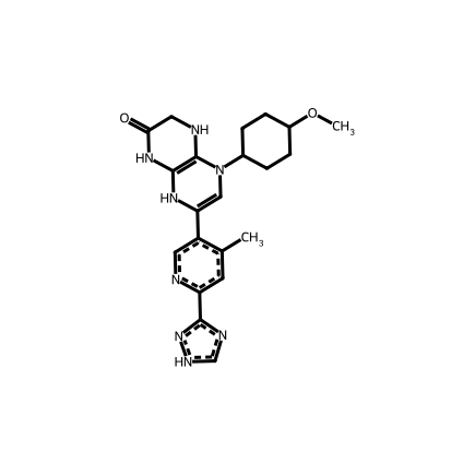 COC1CCC(N2C=C(c3cnc(-c4nc[nH]n4)cc3C)NC3=C2NCC(=O)N3)CC1